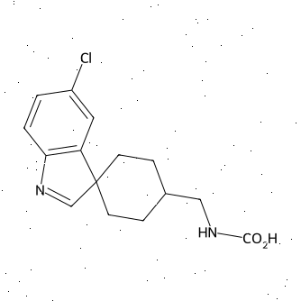 O=C(O)NCC1CCC2(C=Nc3ccc(Cl)cc32)CC1